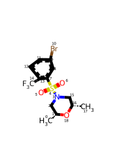 C[C@@H]1CN(S(=O)(=O)c2cc(Br)ccc2C(F)(F)F)C[C@H](C)O1